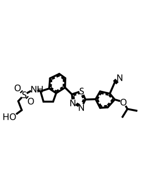 CC(C)Oc1ccc(-c2nnc(-c3cccc4c3CCC4NS(=O)(=O)CCO)s2)cc1C#N